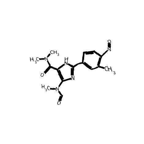 Cc1cc(-c2nc(N(C)C=O)c(C(=O)N(C)C)[nH]2)ccc1N=O